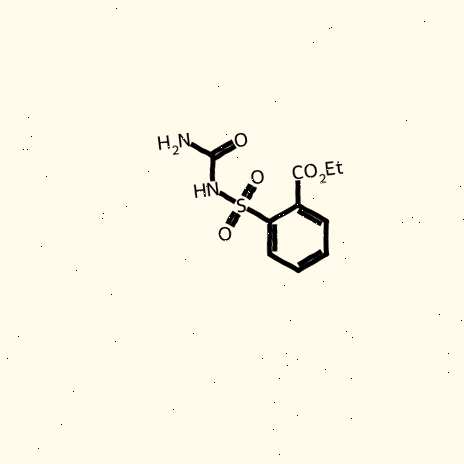 CCOC(=O)c1ccccc1S(=O)(=O)NC(N)=O